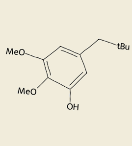 COc1cc(CC(C)(C)C)cc(O)c1OC